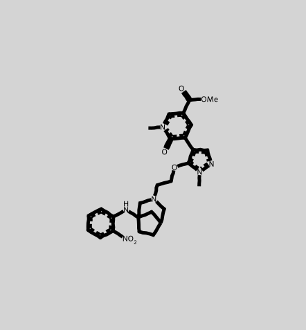 COC(=O)c1cc(-c2cnn(C)c2OCCN2CC3CCC(Nc4ccccc4[N+](=O)[O-])(C3)C2)c(=O)n(C)c1